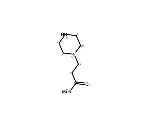 CNC(=O)CCN1CCNCC1